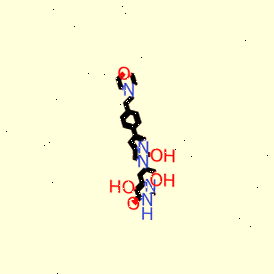 O=c1[nH]cnc(CC(CO)N2Cc3cc(-c4ccc(CCN5CCOCC5)cc4)cn3C2O)c1O